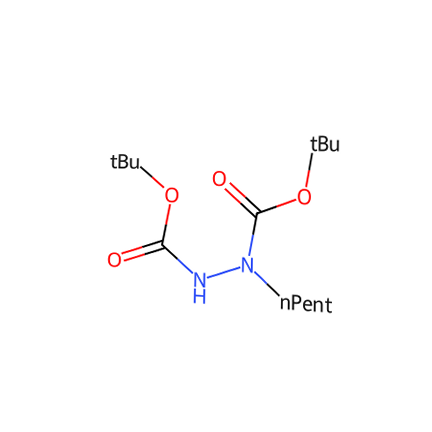 CCCCCN(NC(=O)OC(C)(C)C)C(=O)OC(C)(C)C